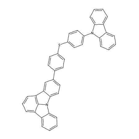 c1ccc2c(c1)c1ccccc1n2-c1ccc(Sc2ccc(-c3ccc4c(c3)c3cccc5c6ccccc6n4c53)cc2)cc1